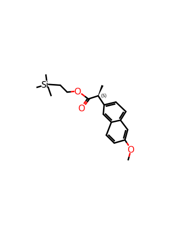 COc1ccc2cc([C@H](C)C(=O)OCC[Si](C)(C)C)ccc2c1